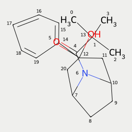 CC(C)(C)C(=O)N1C2CCC1CC(O)(c1ccccc1)C2